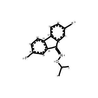 CC(C)ON=C1c2cc(F)ccc2-c2ccc(F)cc21